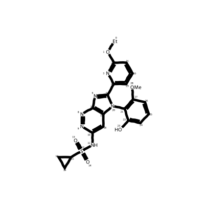 CCOC1=NC(c2nc3nnc(NS(=O)(=O)C4CC4)cc3n2-c2c(O)cccc2OC)=C=C=C1